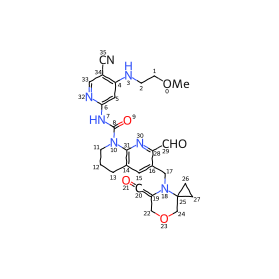 COCCNc1cc(NC(=O)N2CCCc3cc(CN4C(=C=O)COCC45CC5)c(C=O)nc32)ncc1C#N